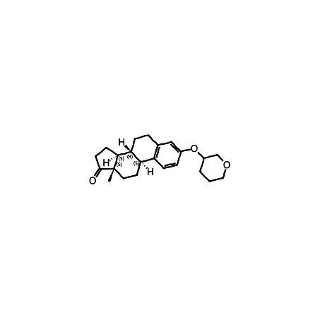 C[C@]12CC[C@@H]3c4ccc(OC5CCCOC5)cc4CC[C@H]3[C@@H]1CCC2=O